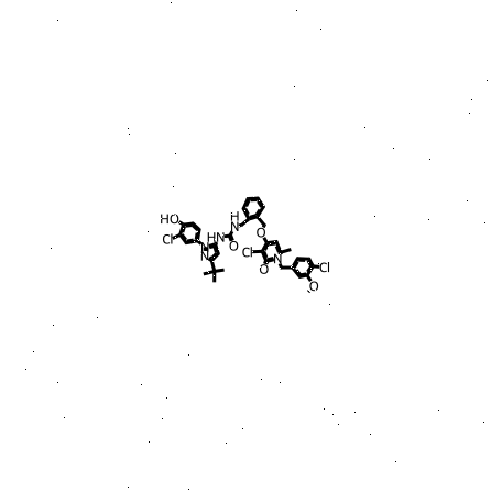 COc1cc(Cn2c(C)cc(OCc3ccccc3CNC(=O)Nc3cc(C(C)(C)C)nn3-c3ccc(O)c(Cl)c3)c(Cl)c2=O)ccc1Cl